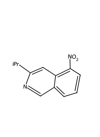 CC(C)c1cc2c([N+](=O)[O-])cccc2cn1